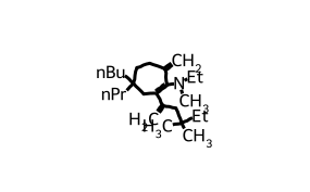 C=C(CC(C)(C)CC)C1=C(N(C)CC)C(=C)CCC(CCC)(CCCC)C1